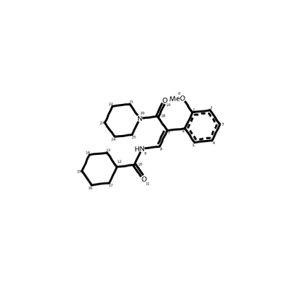 COc1ccccc1C(=CNC(=O)C1CCCCC1)C(=O)N1CCCCC1